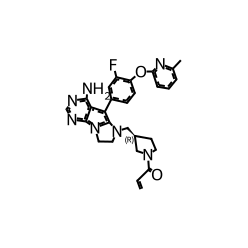 C=CC(=O)N1CC[C@H](CN2CCn3c2c(-c2ccc(Oc4cccc(C)n4)c(F)c2)c2c(N)ncnc23)C1